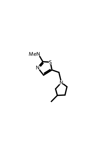 CNc1ncc(CN2CCC(C)C2)s1